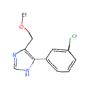 CCOCc1nc[nH]c1-c1cccc(Cl)c1